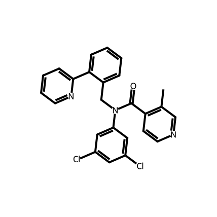 Cc1cnccc1C(=O)N(Cc1ccccc1-c1ccccn1)c1cc(Cl)cc(Cl)c1